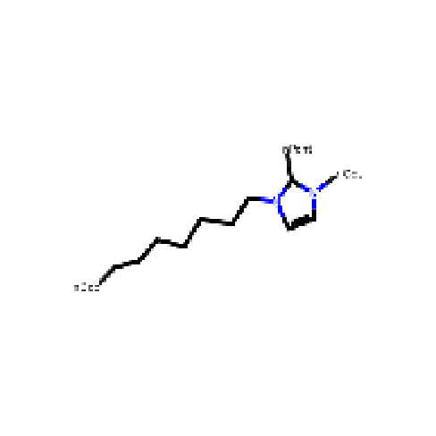 CCCCCCCCCCCCCCCCCN1C=CN(CCCCCCCC)C1CCCCC